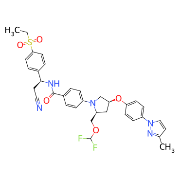 CCS(=O)(=O)c1ccc([C@H](CC#N)NC(=O)c2ccc(N3C[C@@H](Oc4ccc(-n5ccc(C)n5)cc4)C[C@H]3COC(F)F)cc2)cc1